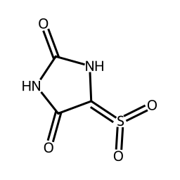 O=C1NC(=O)C(=S(=O)=O)N1